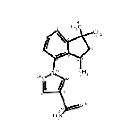 C[C@@H]1CC(C)(C)c2cccc(-n3cc(C(N)=O)cn3)c21